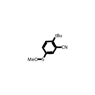 COSc1ccc(C(C)(C)C)c(C#N)c1